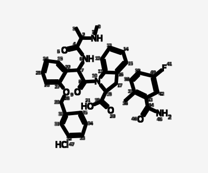 CNC(C)C(=O)NC(C(=O)N1c2ccccc2CC1C(=O)O)c1ccccc1OCc1ccccc1.Cc1ccc(F)cc1C(N)=O.Cl